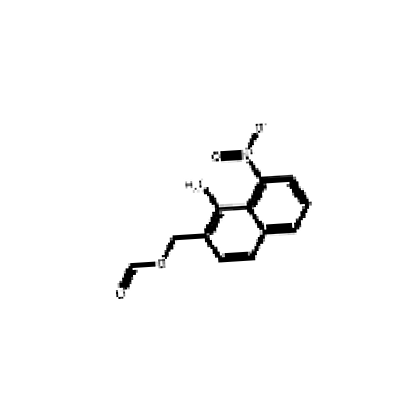 Cc1c(CO[C]=O)ccc2cccc([N+](=O)[O-])c12